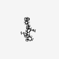 N#Cc1cc(Nc2ncc3c(n2)CCCCC3=O)cc(OCc2ccc3c(c2)OCO3)c1